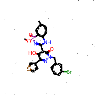 COP1(=O)N=C(c2c(O)c(-c3ccsc3)nn(Cc3cccc(Br)c3)c2=O)Nc2ccc(C)cc21